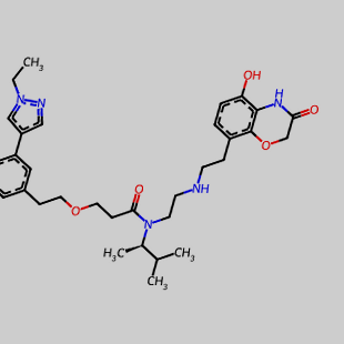 CCn1cc(-c2cccc(CCOCCC(=O)N(CCNCCc3ccc(O)c4c3OCC(=O)N4)[C@H](C)C(C)C)c2)cn1